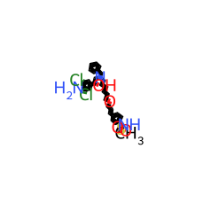 CS(=O)(=O)Nc1ccc(C=CCOCCCCCCN(Cc2ccccc2)CC(O)c2cc(Cl)c(N)c(Cl)c2)cc1